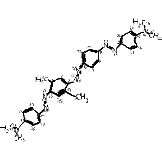 Cc1cc(/N=N/c2ccc(N=Nc3ccc(N(C)C)cc3)cc2)c(C)cc1N=Nc1ccc(N(C)C)cc1